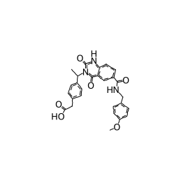 COc1ccc(CNC(=O)c2ccc3[nH]c(=O)n(C(C)c4ccc(CC(=O)O)cc4)c(=O)c3c2)cc1